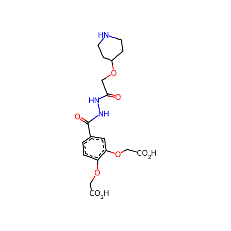 O=C(O)COc1ccc(C(=O)NNC(=O)COC2CCNCC2)cc1OCC(=O)O